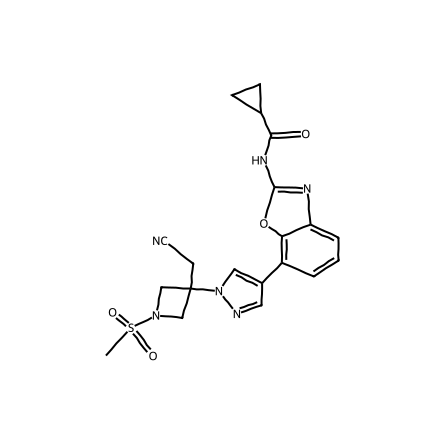 CS(=O)(=O)N1CC(CC#N)(n2cc(-c3cccc4nc(NC(=O)C5CC5)oc34)cn2)C1